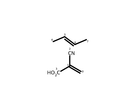 C=C(C#N)C(=O)O.CC=CC